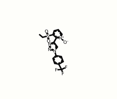 CCS(=O)(=O)c1ccc[n+]([O-])c1-c1cn(-c2ccc(C(F)(F)F)cc2)nn1